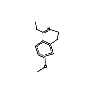 CCC1=NCCc2cc(OC)ccc21